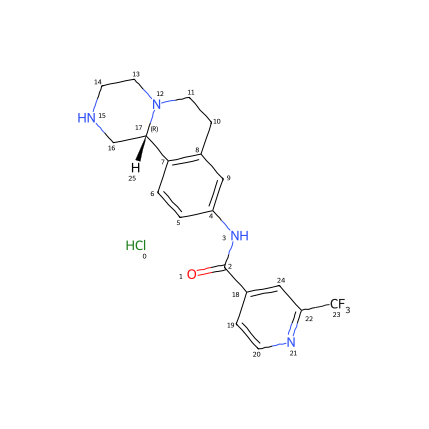 Cl.O=C(Nc1ccc2c(c1)CCN1CCNC[C@@H]21)c1ccnc(C(F)(F)F)c1